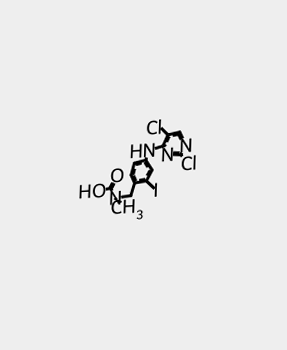 CN(Cc1ccc(Nc2nc(Cl)ncc2Cl)cc1I)C(=O)O